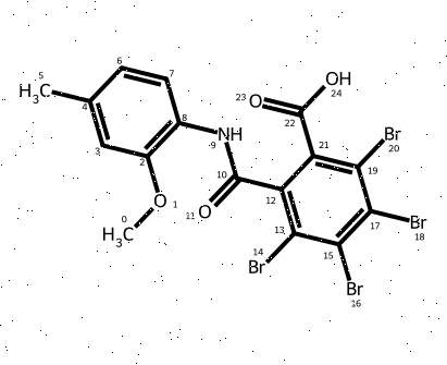 COc1cc(C)ccc1NC(=O)c1c(Br)c(Br)c(Br)c(Br)c1C(=O)O